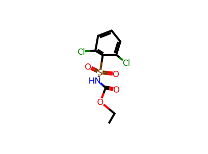 CCOC(=O)NS(=O)(=O)c1c(Cl)cccc1Cl